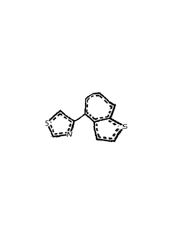 [c]1nc(-c2cccc3sccc23)cs1